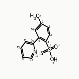 Cc1ccc(S(=O)(O)=S)c(-c2ccccn2)c1